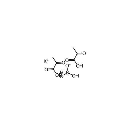 CC(=O)C(=O)O.CC(=O)C(=O)O.[K+].[O-]B(O)O